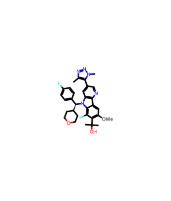 COc1cc2c3ncc(-c4c(C)nnn4C)cc3n([C@H](c3ccc(F)cc3)C3CCOCC3)c2c(F)c1C(C)(C)O